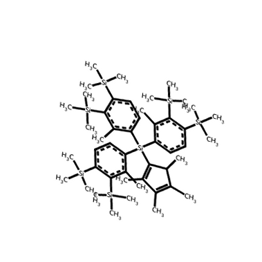 CC1=C(C)C(C)C([Si](c2ccc([Si](C)(C)C)c([Si](C)(C)C)c2C)(c2ccc([Si](C)(C)C)c([Si](C)(C)C)c2C)c2ccc([Si](C)(C)C)c([Si](C)(C)C)c2C)=C1C